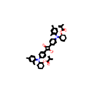 C=C(C)C(=O)OC1CCCCC1N(c1ccc(C2=C([O-])C(=C3C=CC(=[N+](c4ccc(C)cc4C)C4CCCCC4OC(=O)C(=C)C)C=C3)C2=O)cc1)c1ccc(C)cc1C